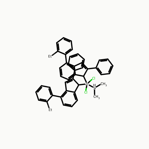 CCc1ccccc1-c1cccc2c1C=C(c1ccccc1)[CH]2[Zr]([Cl])([Cl])([CH]1C(c2ccccc2)=Cc2c(-c3ccccc3CC)cccc21)[SiH](C)C